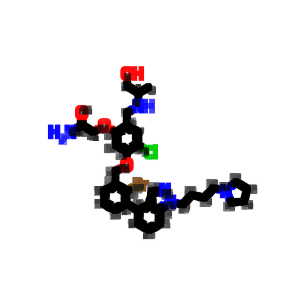 CC(CO)NCc1cc(Cl)c(OCc2cccc(-c3cccc4c3cnn4CCCCN3CCCC3)c2Br)cc1OCC(N)=O